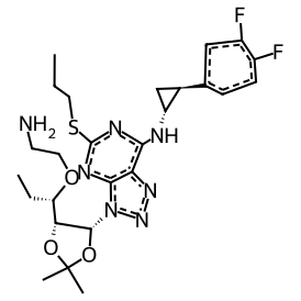 CCCSc1nc(N[C@@H]2C[C@H]2c2ccc(F)c(F)c2)c2nnn([C@@H]3OC(C)(C)O[C@@H]3[C@H](CC)OCCN)c2n1